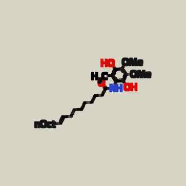 CCCCCCCCC=CCCCCCCCC(=O)Nc1c(C)c(O)c(OC)c(OC)c1O